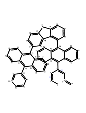 C=N/C=C(\C=C/C)c1c2ccccc2c(-c2cccc3sc4ccc(-c5c6ccccc6c(-c6cccnc6)c6ccccc56)cc4c23)c2ccccc12